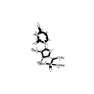 CO[C@@H]1[C@H](O)[C@@H](C(OC(C)=O)P(=O)(OC)OC)O[C@H]1n1ccc(=O)[nH]c1=O